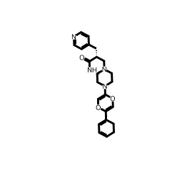 NC(=O)[C@H](Cc1ccncc1)CN1CCN(C2=COC(C3=CC=CCC3)=CO2)CC1